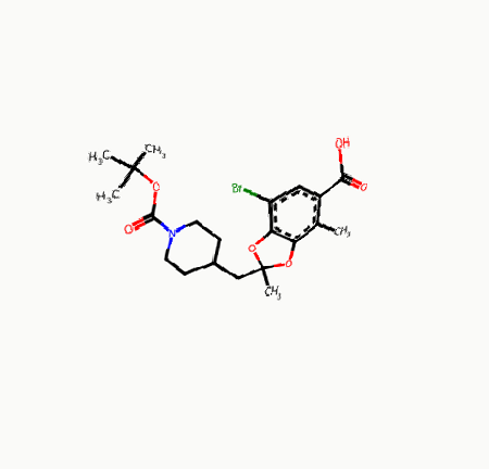 Cc1c(C(=O)O)cc(Br)c2c1OC(C)(CC1CCN(C(=O)OC(C)(C)C)CC1)O2